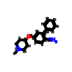 CN1CCC(Oc2ccc(N)c(-c3ccccc3)c2)CC1